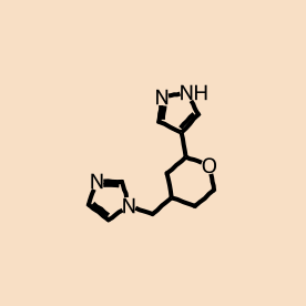 c1cn(CC2CCOC(c3cn[nH]c3)C2)cn1